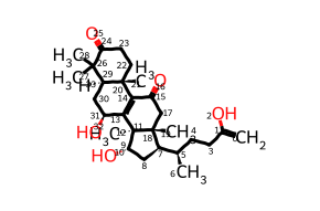 C=C(O)CC[C@@H](C)[C@H]1C[C@H](O)[C@@]2(C)C3=C(C(=O)C[C@]12C)[C@@]1(C)CCC(=O)C(C)(C)[C@@H]1C[C@@H]3O